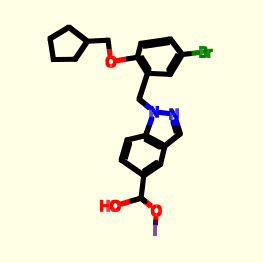 OC(OI)c1ccc2c(cnn2Cc2cc(Br)ccc2OCC2CCCC2)c1